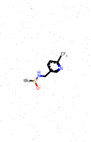 CC(C)(C)[S+]([O-])NCc1ccc(C(F)(F)F)nc1